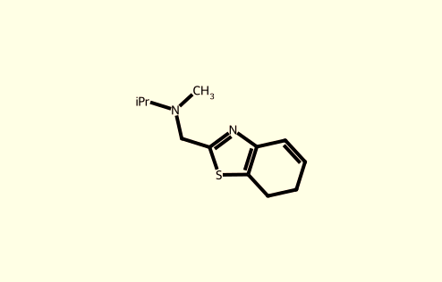 CC(C)N(C)Cc1nc2c(s1)CCC=C2